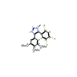 COc1cc(-c2ncn(C)c2-c2cc(F)c(F)cc2F)cc(OC)c1OC